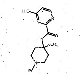 Cc1ccnc(C(=O)NC2(C)CCN(C(C)C)CC2)n1